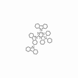 c1ccc([Si](c2ccccc2)(c2ccccc2)c2nc(-n3c4ccccc4c4ccccc43)nc(-n3c4ccccc4c4cc(-n5c6ccccc6c6ccccc65)ccc43)n2)cc1